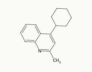 Cc1cc(C2CCCCC2)c2ccccc2n1